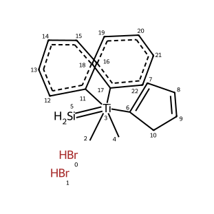 Br.Br.[CH3][Ti]([CH3])(=[SiH2])([C]1=CC=CC1)([c]1ccccc1)[c]1ccccc1